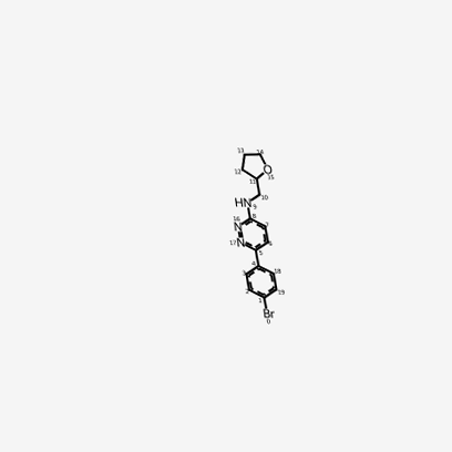 Brc1ccc(-c2ccc(NCC3CCCO3)nn2)cc1